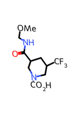 COCNC(=O)C1CC(C(F)(F)F)CN(C(=O)O)C1